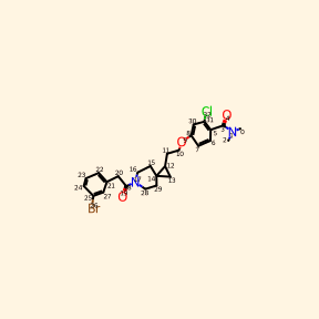 CN(C)C(=O)c1ccc(OCCC2CC23CCN(C(=O)Cc2cccc(Br)c2)CC3)cc1Cl